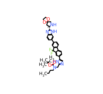 CCCCN(Cc1ncc(-c2ccc3c(c2)C(F)(F)c2cc(-c4ccc5nc([C@@H]6CC7(CN6)OCCO7)[nH]c5c4)ccc2-3)[nH]1)C(=O)OC(C)(C)C